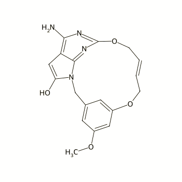 COc1cc2cc(c1)OC/C=C/COc1nc(N)c3cc(O)n(c3n1)C2